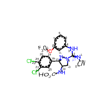 N#C/N=C(/Nc1cccc(OC(F)(F)F)c1)N1CC(NC(=O)O)C(c2ccc(Cl)c(Cl)c2)=N1